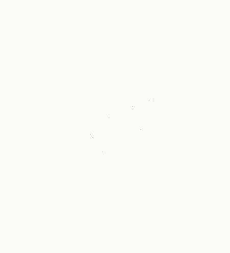 CC1=NC(=S)C(Cc2ccc(Cl)cc2)O1